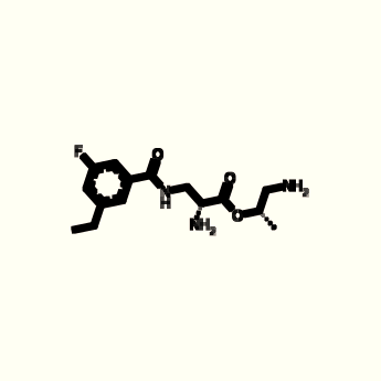 CCc1cc(F)cc(C(=O)NC[C@@H](N)C(=O)O[C@@H](C)CN)c1